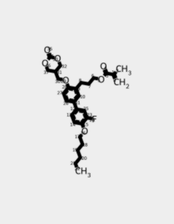 C=C(C)C(=O)OCCCc1cc(-c2ccc(OCCCCCC)c(F)c2)ccc1OCC1COC(=O)OC1